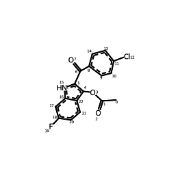 CC(=O)Oc1c(C(=O)c2ccc(Cl)cc2)[nH]c2cc(F)ccc12